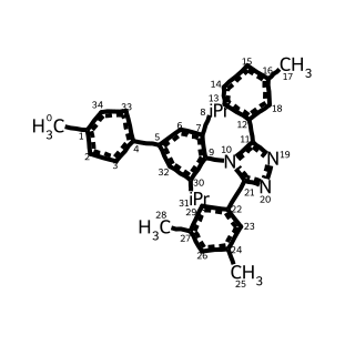 Cc1ccc(-c2cc(C(C)C)c(-n3c(-c4cccc(C)c4)nnc3-c3cc(C)cc(C)c3)c(C(C)C)c2)cc1